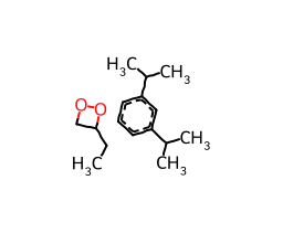 CC(C)c1cccc(C(C)C)c1.CCC1COO1